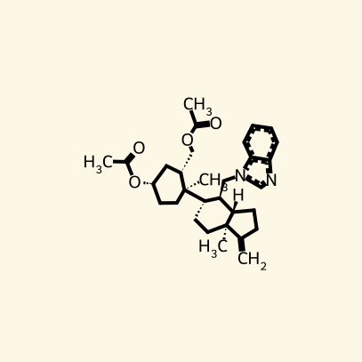 C=C1CC[C@H]2[C@H](Cn3cnc4ccccc43)[C@@H]([C@@]3(C)CC[C@H](OC(C)=O)C[C@@H]3COC(C)=O)CC[C@]12C